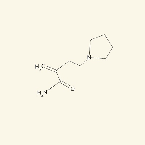 C=C(CCN1CCCC1)C(N)=O